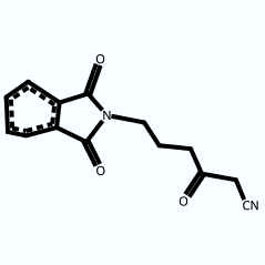 N#CCC(=O)CCCN1C(=O)c2ccccc2C1=O